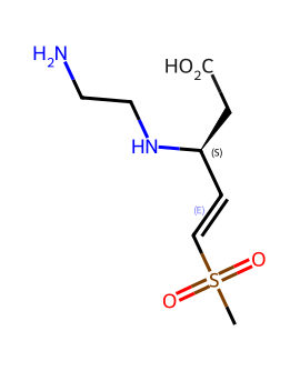 CS(=O)(=O)/C=C/[C@H](CC(=O)O)NCCN